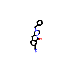 N#Cc1ccc2c(c1)C(=O)N1CCN(Cc3ccccc3)CC1C2